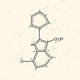 CCOC(=O)c1c(-c2ccccc2)[nH]c2c(Cl)ccnc12